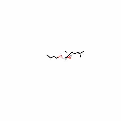 CCCCOC[C@H]1O[C@@]1(C)CCC=C(C)C